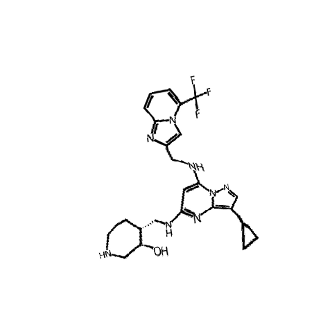 O[C@H]1CNCC[C@@H]1CNc1cc(NCc2cn3c(C(F)(F)F)cccc3n2)n2ncc(C3CC3)c2n1